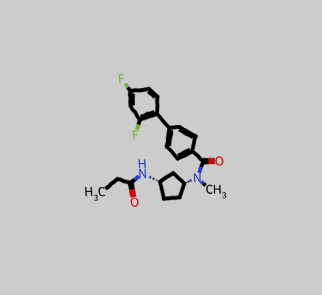 CCC(=O)N[C@H]1CC[C@@H](N(C)C(=O)c2ccc(-c3ccc(F)cc3F)cc2)C1